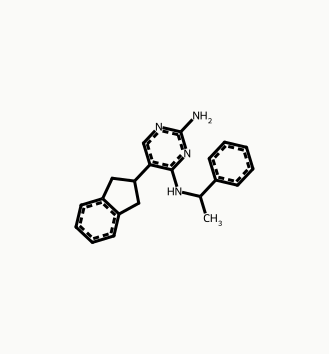 CC(Nc1nc(N)ncc1C1Cc2ccccc2C1)c1ccccc1